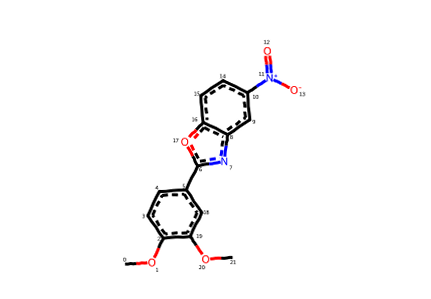 COc1ccc(-c2nc3cc([N+](=O)[O-])ccc3o2)cc1OC